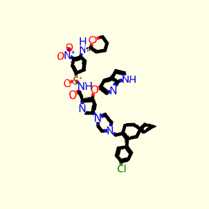 O=C(N[S+]([O-])c1ccc(N[C@H]2CCCCO2)c([N+](=O)[O-])c1)c1ncc(N2CCN(CC3=C(c4ccc(Cl)cc4)CC4(CCC4)CC3)CC2)cc1Oc1cnc2[nH]ccc2c1